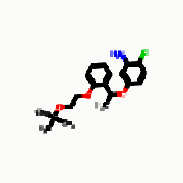 CC(Oc1ccc(Cl)c(N)c1)c1ccccc1OCCO[Si](C)(C)C(C)(C)C